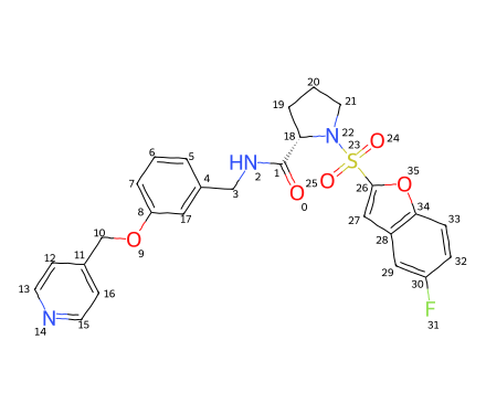 O=C(NCc1cccc(OCc2ccncc2)c1)[C@@H]1CCCN1S(=O)(=O)c1cc2cc(F)ccc2o1